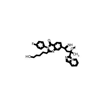 CC(CC(=N)c1ccc2c(=O)n(-c3ccc(F)cc3)c(CCCCCO)nc2c1)(OI)c1ncc2ccccn12